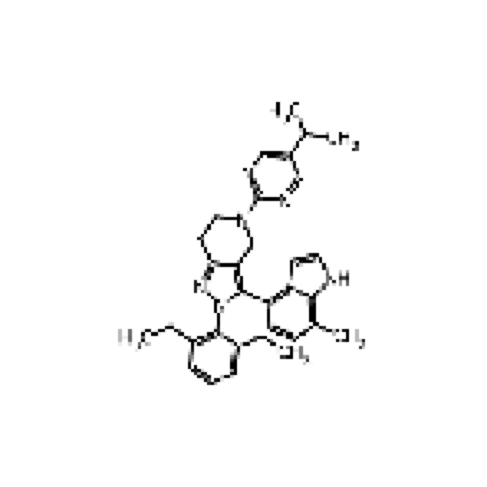 CCc1cccc(CC)c1-n1nc2c(c1-c1ccc(C)c3[nH]ccc13)CN(c1ncc(C(C)C)cn1)CC2